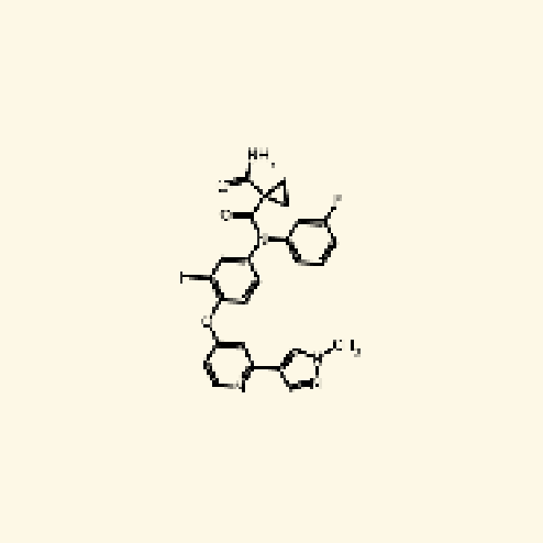 Cn1cc(-c2cc(Oc3ccc(N(C(=O)C4(C(N)=O)CC4)c4cccc(F)c4)cc3F)ccn2)cn1